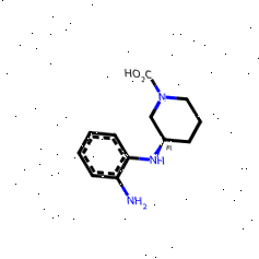 Nc1ccccc1N[C@@H]1CCCN(C(=O)O)C1